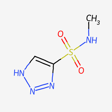 CNS(=O)(=O)c1c[nH]nn1